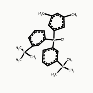 Cc1cc(C)cc([Si](Cl)(c2cccc([Si](C)(C)C)c2)c2cccc([Si](C)(C)C)c2)c1